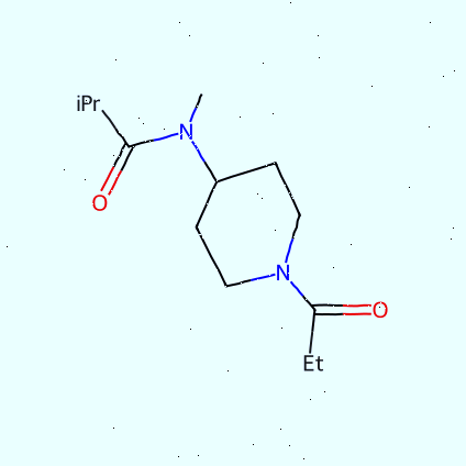 CCC(=O)N1CCC(N(C)C(=O)C(C)C)CC1